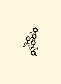 CCOC(=O)C1CCCN(c2c(N3CCN(C(=O)Nc4cccc(C)c4)CC3)cnn(-c3ccccc3)c2=O)C1